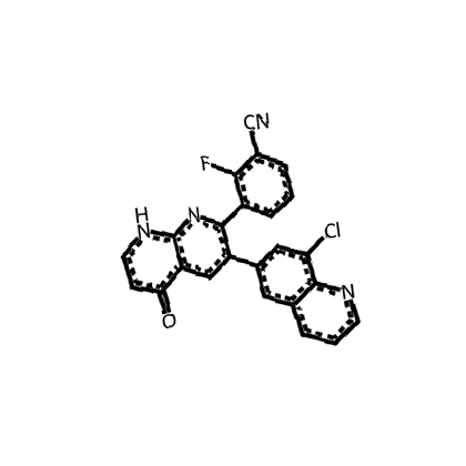 N#Cc1cccc(-c2nc3[nH]ccc(=O)c3cc2-c2cc(Cl)c3ncccc3c2)c1F